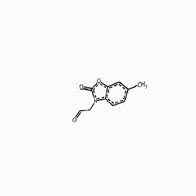 Cc1ccc2c(c1)oc(=O)n2CC=O